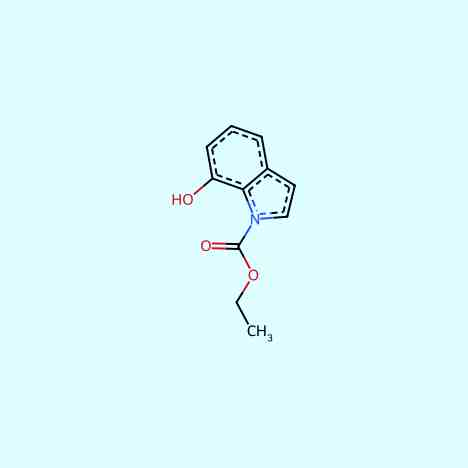 CCOC(=O)n1ccc2cccc(O)c21